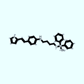 CC(C)(C)[Si](OCCCCNc1ccc(C=Cc2cccs2)cc1)(c1ccccc1)c1ccccc1